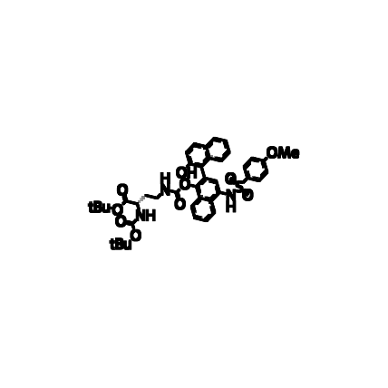 COc1ccc(S(=O)(=O)Nc2cc(-c3c(O)ccc4ccccc34)c(OC(=O)NCC[C@H](NC(=O)OC(C)(C)C)C(=O)OC(C)(C)C)c3ccccc23)cc1